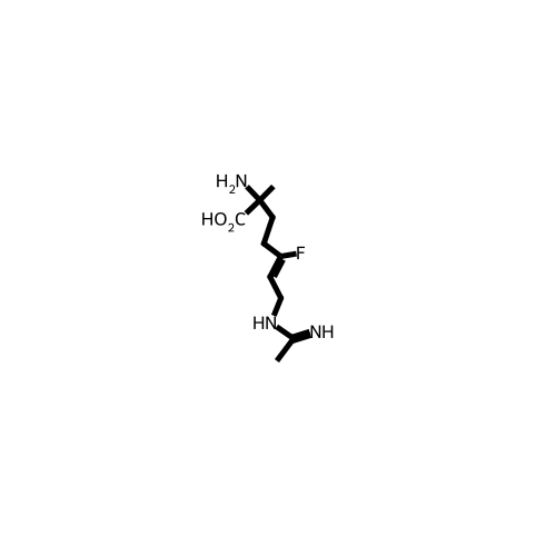 CC(=N)NC/C=C(\F)CCC(C)(N)C(=O)O